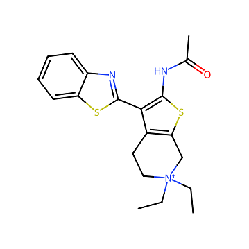 CC[N+]1(CC)CCc2c(sc(NC(C)=O)c2-c2nc3ccccc3s2)C1